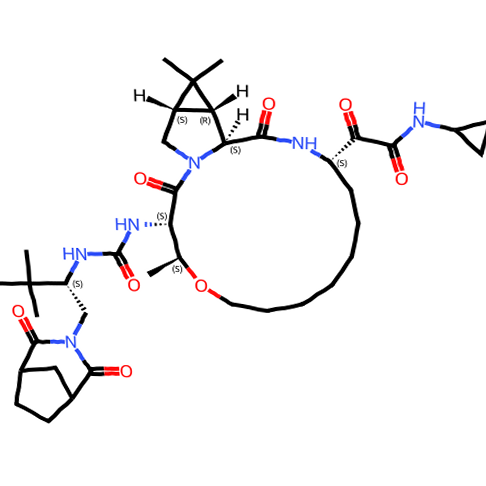 C[C@@H]1OCCCCCCC[C@@H](C(=O)C(=O)NC2CC2)NC(=O)[C@@H]2[C@@H]3[C@H](CN2C(=O)[C@H]1NC(=O)N[C@H](CN1C(=O)C2CCC(C2)C1=O)C(C)(C)C)C3(C)C